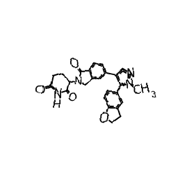 Cn1ncc(-c2ccc3c(c2)CN(C2CCC(=O)NC2=O)C3=O)c1-c1ccc2c(c1)CCO2